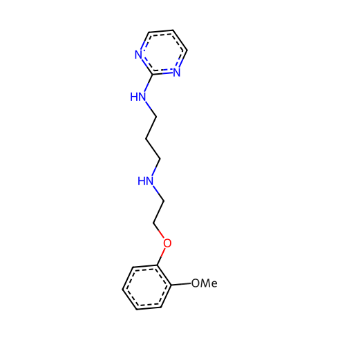 COc1ccccc1OCCNCCCNc1ncccn1